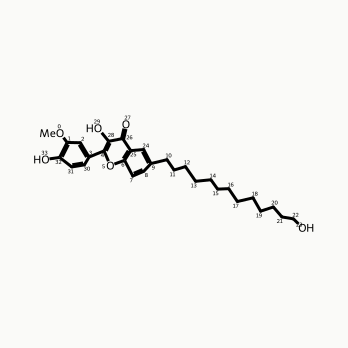 COc1cc(-c2oc3ccc(CCCCCCCCCCCCCO)cc3c(=O)c2O)ccc1O